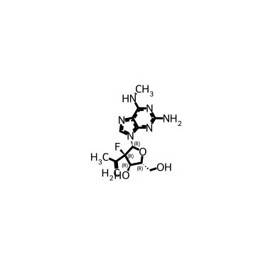 C=C(C)[C@@]1(F)[C@H](O)[C@@H](CO)O[C@H]1n1cnc2c(NC)nc(N)nc21